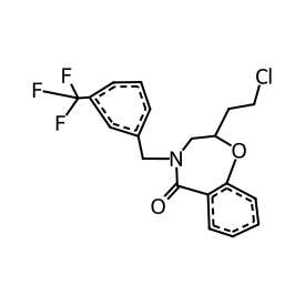 O=C1c2ccccc2OC(CCCl)CN1Cc1cccc(C(F)(F)F)c1